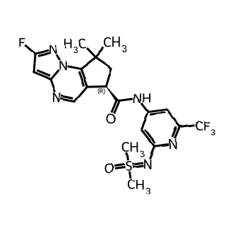 CC1(C)C[C@@H](C(=O)Nc2cc(N=S(C)(C)=O)nc(C(F)(F)F)c2)c2cnc3cc(F)nn3c21